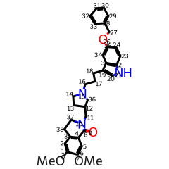 COc1cc2c(cc1OC)C(=O)N(CC1CCN(CCCc3c[nH]c4ccc(OCc5ccccc5)cc34)C1)CC2